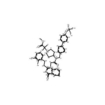 COC(=O)C(C)(C)N1CCC(N(Cc2ccc(-c3ccc(OC(F)(F)F)cc3)cc2)C(=O)Cn2c(CCc3cccc(F)c3F)nc(=O)c3cccnc32)CC1